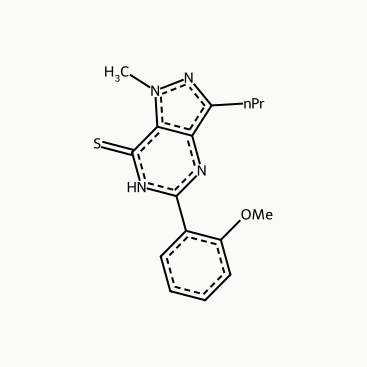 CCCc1nn(C)c2c(=S)[nH]c(-c3ccccc3OC)nc12